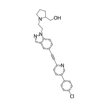 OCC1CCCN1CCn1ncc2cc(C#Cc3ccc(-c4ccc(Cl)cc4)cn3)ccc21